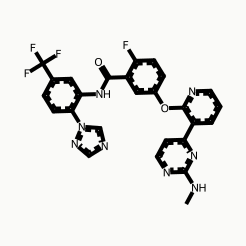 CNc1nccc(-c2cccnc2Oc2ccc(F)c(C(=O)Nc3cc(C(F)(F)F)ccc3-n3cncn3)c2)n1